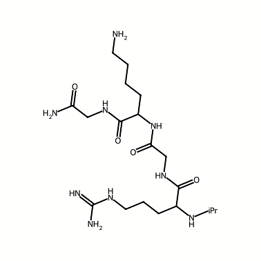 CC(C)NC(CCCNC(=N)N)C(=O)NCC(=O)NC(CCCCN)C(=O)NCC(N)=O